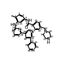 Cc1ccc(NC(=O)c2ccc(CN3CCNCC3)cc2)cc1Nc1nccc(-c2cncc(-c3ccncc3)c2)n1